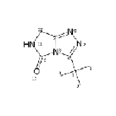 CC(C)(C)c1nnc2n1C(=O)NC2